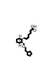 O=C(O)/C=C/C/C=C\C[C@H]1[C@@H](COCCC2CCCC2)[C@H]2CC[C@@H]1O2